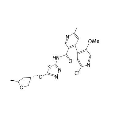 COc1cnc(Cl)cc1-c1cc(C)ncc1C(=O)Nc1nnc(OC[C@@H]2CO[C@@H](C)C2)s1